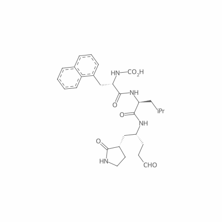 CC(C)C[C@H](NC(=O)[C@H](Cc1cccc2ccccc12)NC(=O)O)C(=O)N[C@H](CCC=O)C[C@@H]1CCNC1=O